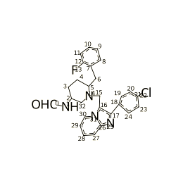 O=CNC1CCC(Cc2ccccc2F)N(Cc2c(-c3ccc(Cl)cc3)nc3ccccn23)C1